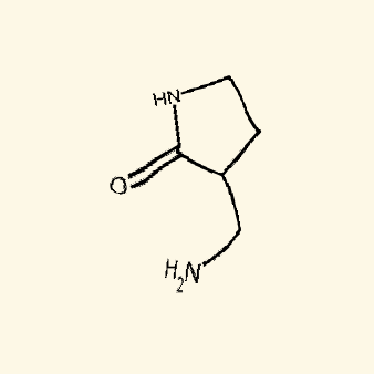 NCC1CCNC1=O